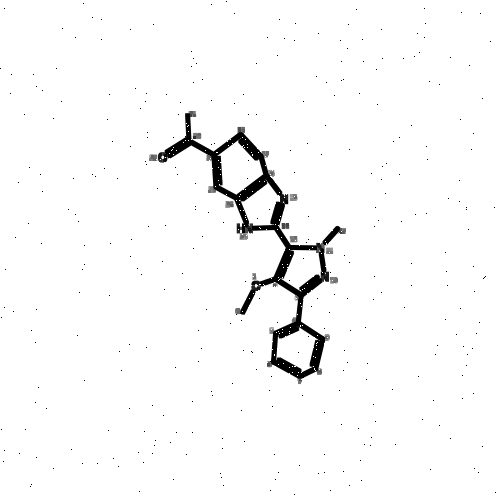 COc1c(-c2ccccc2)nn(C)c1-c1nc2ccc(C(C)=O)cc2[nH]1